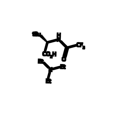 CC(C)(C)[C@H](NC(=O)C(F)(F)F)C(=O)O.CCN(CC)CC